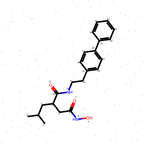 CC(C)CC(CC(=O)NO)C(=O)NCCc1ccc(-c2ccccc2)cc1